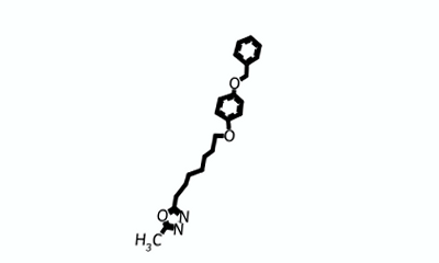 Cc1nnc(CCCCCCCOc2ccc(OCc3ccccc3)cc2)o1